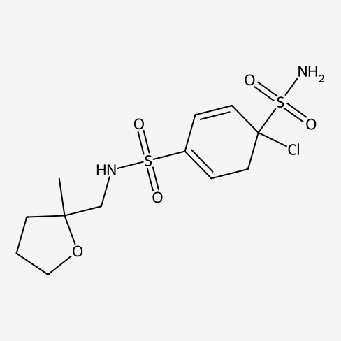 CC1(CNS(=O)(=O)C2=CCC(Cl)(S(N)(=O)=O)C=C2)CCCO1